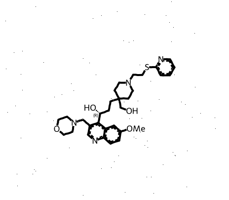 COc1ccc2ncc(CN3CCOCC3)c([C@H](O)CCC3(CO)CCN(CCSc4ccccn4)CC3)c2c1